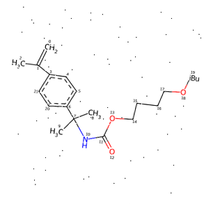 C=C(C)c1ccc(C(C)(C)NC(=O)OCCCCOC(C)CC)cc1